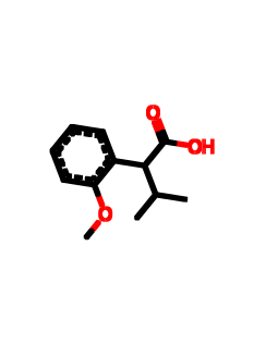 COc1ccccc1C(C(=O)O)C(C)C